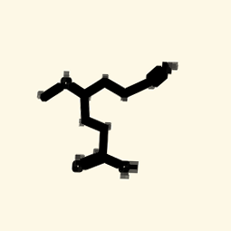 COC(CCC#N)CCC(=O)O